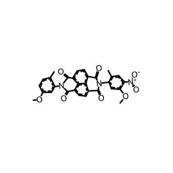 COc1ccc(C)c(N2C(=O)c3ccc4c5c(ccc(c35)C2=O)C(=O)N(c2cc(OC)c([N+](=O)[O-])cc2C)C4=O)c1